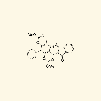 COC(=O)OC1=C(C)NC(CN2C(=O)c3ccccc3C2=O)=C(OC(=O)OC)C1c1ccccc1